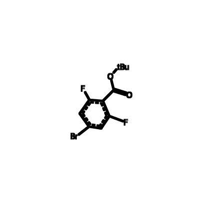 CC(C)(C)OC(=O)c1c(F)cc(Br)cc1F